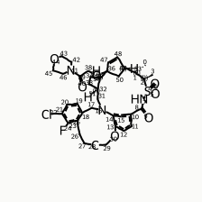 C[C@@H]1[C@@H](C)S(=O)(=O)NC(=O)c2ccc3c(c2)N(Cc2ccc(Cl)c(F)c2CCCCO3)C[C@@H]2CC[C@H]2C2(OCC(=O)N3CCOCC3)C=C[C@H]1C2